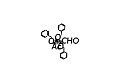 CC(=O)[C@@H](OCc1ccccc1)[C@H](OCc1ccccc1)[C@H](C=O)OCc1ccccc1